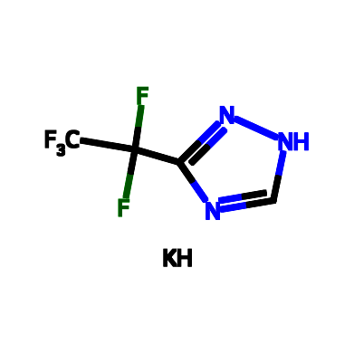 FC(F)(F)C(F)(F)c1nc[nH]n1.[KH]